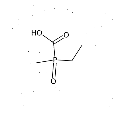 CCP(C)(=O)C(=O)O